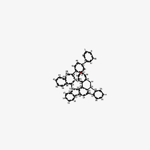 c1ccc(-c2ccc(-c3nc(-n4c5ccccc5c5cc6c7c(c54)-c4ccccc4CC7c4ccccc4-6)c4ccccc4n3)cc2)cc1